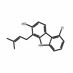 CC(C)=CCc1c(O)ccc2c1[nH]c1cccc(Cl)c12